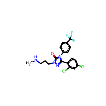 CNCCCn1nc(-c2ccc(Cl)cc2Cl)n(-c2ccc(C(F)(F)F)cc2)c1=O